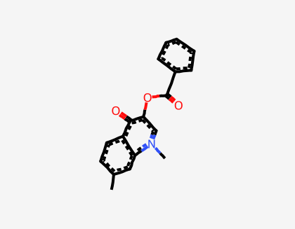 Cc1ccc2c(=O)c(OC(=O)c3ccccc3)cn(C)c2c1